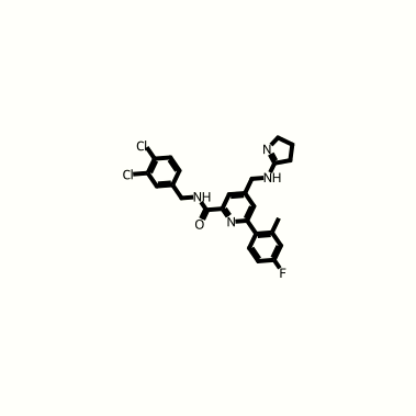 Cc1cc(F)ccc1-c1cc(CNC2=NCCC2)cc(C(=O)NCc2ccc(Cl)c(Cl)c2)n1